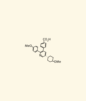 COc1ccc(-c2ncc([C@H]3CC[C@H](OC)CC3)cc2-c2ccc(C(=O)O)cc2)cc1